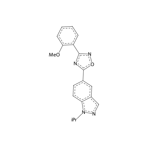 COc1ccccc1-c1noc(-c2ccc3c(cnn3C(C)C)c2)n1